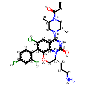 C=CC(=O)N1C[C@H](C)N(c2nc(=O)n3c4c(c(-c5ccc(F)cc5F)c(Cl)cc24)OC[C@H]3CCCN)C[C@H]1C